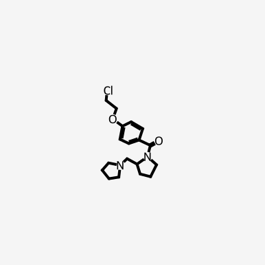 O=C(c1ccc(OCCCl)cc1)N1CCCC1CN1CCCC1